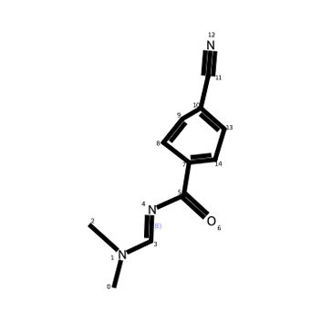 CN(C)/C=N/C(=O)c1ccc(C#N)cc1